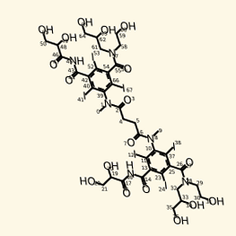 CN(C(=O)CCC(=O)N(C)c1c(I)c(C(=O)NC(=O)C(O)CO)c(I)c(C(=O)N(CCO)CC(O)CO)c1I)c1c(I)c(C(=O)NC(=O)C(O)CO)c(I)c(C(=O)N(CCO)CC(O)CO)c1I